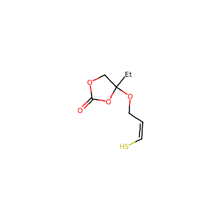 CCC1(OC/C=C\S)COC(=O)O1